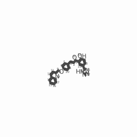 O=C(C=Cc1ccc(OCc2ccc3ccccc3n2)cc1)c1cc(-c2nnn[nH]2)ccc1O